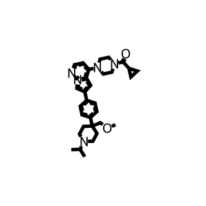 COCC1(c2ccc(-c3cc4c(N5CCN(C(=O)C6CC6)CC5)ccnn4c3)cc2)CCN(C(C)C)CC1